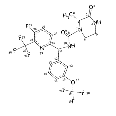 C[C@@H]1C(=O)NCCN1C(=O)NC(c1cccc(OC(F)(F)F)c1)c1ccc(F)c(C(F)(F)F)n1